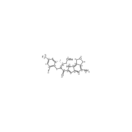 COC[C@@H](C)N(Cc1ncc(C(F)(F)F)cc1F)C(=O)c1cc2nc(N)c3c(c2[nH]1)COC3